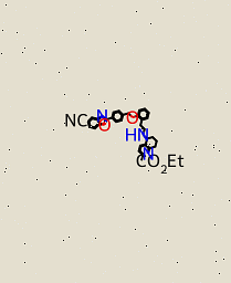 CCOC(=O)c1ccc2c(n1)CCCC2NCCc1ccccc1OCc1ccc(-c2nc3cc(C#N)ccc3o2)cc1